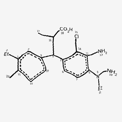 CCc1cc(C(c2ccc(N(N)CC)c(N)c2Cl)C(C)C(=O)O)ccc1C